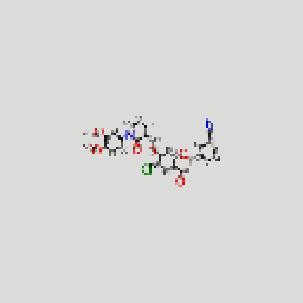 N#Cc1cccc(COc2cc(OCc3cccn(-c4ccc5c(c4)OCCO5)c3=O)c(Cl)cc2C=O)c1